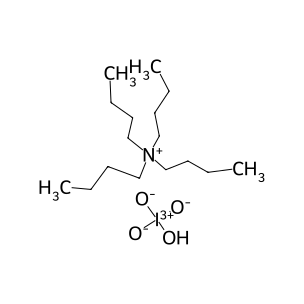 CCCC[N+](CCCC)(CCCC)CCCC.[O-][I+3]([O-])([O-])O